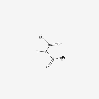 CCCC(=O)C(C)C(=O)CC